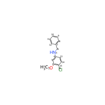 COc1cc(NCc2ccccc2)ccc1Cl